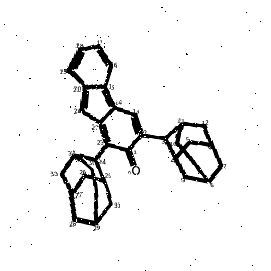 O=C1C(C2C3CC4CC(C3)CC2C4)=CC2=c3ccccc3=CC2=C1C1C2CC3CC(C2)CC1C3